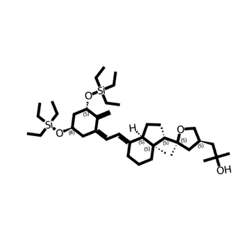 C=C1C(=CC=C2CCC[C@@]3(C)[C@@H]2CC[C@@H]3[C@]2(C)C[C@H](CC(C)(C)O)CO2)C[C@@H](O[Si](CC)(CC)CC)C[C@@H]1O[Si](CC)(CC)CC